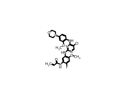 C=CC(=O)Nc1cc(Nc2ncc(Cl)c(Nc3ccc(N4CCOCC4)cc3OC)n2)c(OC)cc1F